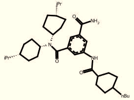 CCCCC1CCC(C(=O)Nc2cc(C(N)=O)cc(C(=O)N([C@H]3CC[C@@H](C(C)C)CC3)[C@H]3CC[C@@H](C(C)C)CC3)c2)CC1